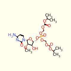 CO[C@@H]1[C@H](O)[C@@H](COP(=O)(OCOC(=O)OC(C)C)OCOC(=O)OC(C)C)O[C@H]1n1ccc(N)nc1=O